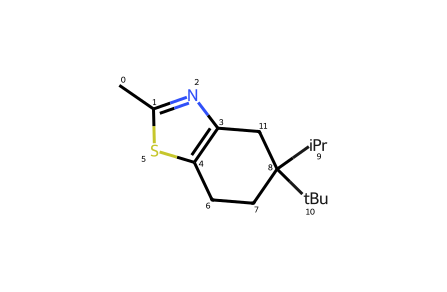 Cc1nc2c(s1)CCC(C(C)C)(C(C)(C)C)C2